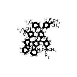 Cc1ccc(N(c2ccc(C(C)(C)C)cc2)c2cc3c4c(c2)N(c2ccc(C(C)(C)C)cc2)c2cc5c(cc2B4c2cc(C(C)(C)C)ccc2S3)C2=C(C=CCC2)[Si]5(c2ccccc2)c2ccccc2)c(C)c1